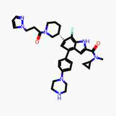 CN(C(=O)c1cc2c(-c3ccc(N4CCNCC4)cc3)cc([C@H]3CCCN(C(=O)CCn4cccn4)C3)c(F)c2[nH]1)C1CC1